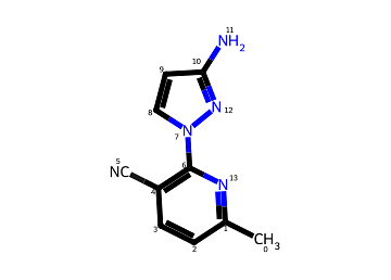 Cc1ccc(C#N)c(-n2ccc(N)n2)n1